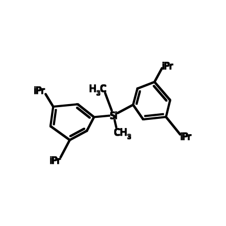 CC(C)c1cc(C(C)C)cc([Si](C)(C)c2cc(C(C)C)cc(C(C)C)c2)c1